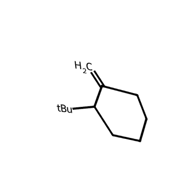 C=C1CCCCC1C(C)(C)C